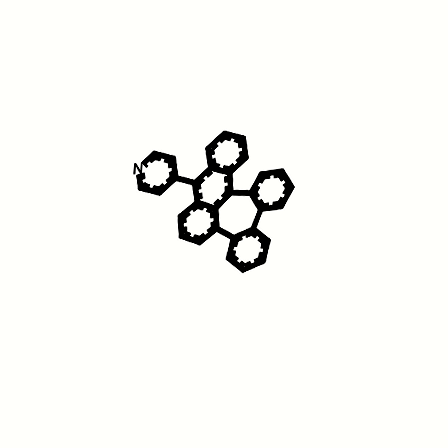 c1ccc2c(c1)-c1ccccc1-c1c3ccccc3c(-c3ccncc3)c3cccc-2c13